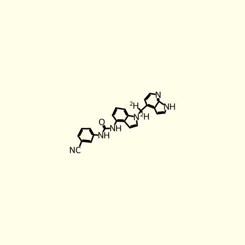 [2H]C([2H])(c1ccnc2[nH]ccc12)n1ccc2c(NC(=O)Nc3cccc(C#N)c3)cccc21